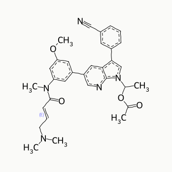 COc1cc(-c2cnc3c(c2)c(-c2cccc(C#N)c2)cn3C(C)OC(C)=O)cc(N(C)C(=O)/C=C/CN(C)C)c1